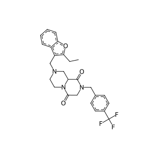 CCc1oc2ccccc2c1CN1CCN2C(=O)CN(Cc3ccc(C(F)(F)F)cc3)C(=O)C2C1